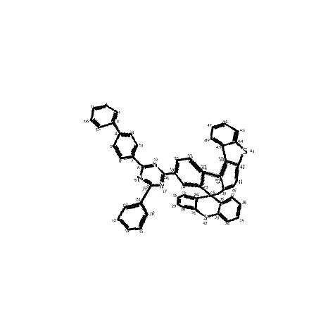 c1ccc(-c2ccc(-c3nc(-c4ccccc4)nc(-c4ccc5c(c4)C4(c6ccccc6Sc6ccccc64)c4ccc6sc7ccccc7c6c4-5)n3)cc2)cc1